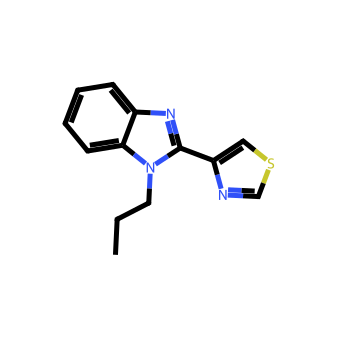 CCCn1c(-c2cscn2)nc2ccccc21